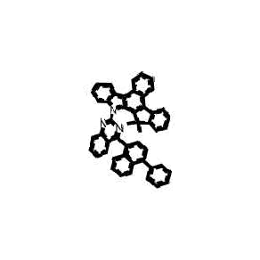 CC1(C)c2ccccc2-c2c1c1c(c3ccccc23)c2ccccc2n1-c1nc(-c2ccc(-c3ccccc3)c3ccccc23)c2ccccc2n1